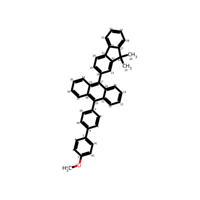 COc1ccc(-c2ccc(-c3c4ccccc4c(-c4ccc5c(c4)C(C)(C)c4ccccc4-5)c4ccccc34)cc2)cc1